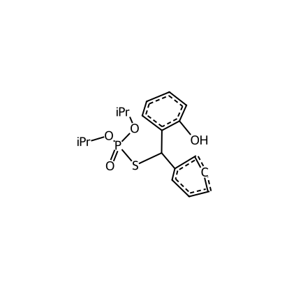 CC(C)OP(=O)(OC(C)C)SC(c1ccccc1)c1ccccc1O